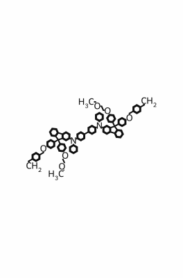 C=Cc1ccc(COc2ccc(C3(c4ccc(OCCOCC)cc4)c4ccccc4-c4ccc(N(c5ccccc5)c5ccc(-c6ccc(N(c7ccccc7)c7ccc8c(c7)C(c7ccc(OCCOCC)cc7)(c7ccc(OCc9ccc(C=C)cc9)cc7)c7ccccc7-8)cc6)cc5)cc43)cc2)cc1